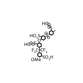 COc1ccc(C(c2ccc(Oc3ccc(S(=O)(=O)c4ccc(C)c(SOOO)c4)cc3S(=O)(=O)O)c(SOOO)c2)(C(F)(F)F)C(F)(F)F)cc1S(=O)(=O)O